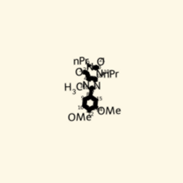 CCCn1c(=O)c2c(nc(-c3ccc(OC)c(OC)c3)n2C)n(CCC)c1=O